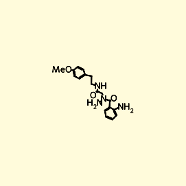 COc1ccc(CCNC(=O)CN(N)C(=O)c2ccccc2N)cc1